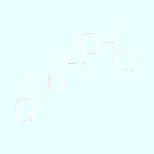 O=C(c1cccnc1)c1cccc(NC(=O)c2ccn3c2CSC3c2cccnc2)c1